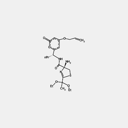 C=CCOc1cc([C@@H](CCC)NC(=O)[C@]2(N)CSC(C(C)(OCC)OCC)=N2)oc(=O)c1